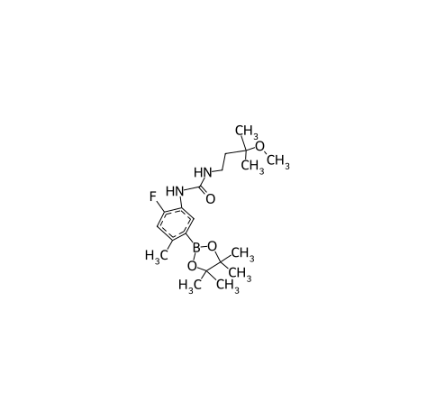 COC(C)(C)CCNC(=O)Nc1cc(B2OC(C)(C)C(C)(C)O2)c(C)cc1F